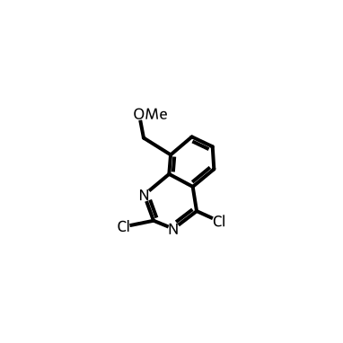 COCc1cccc2c(Cl)nc(Cl)nc12